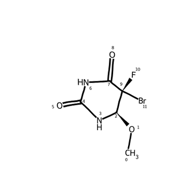 CO[C@H]1NC(=O)NC(=O)[C@]1(F)Br